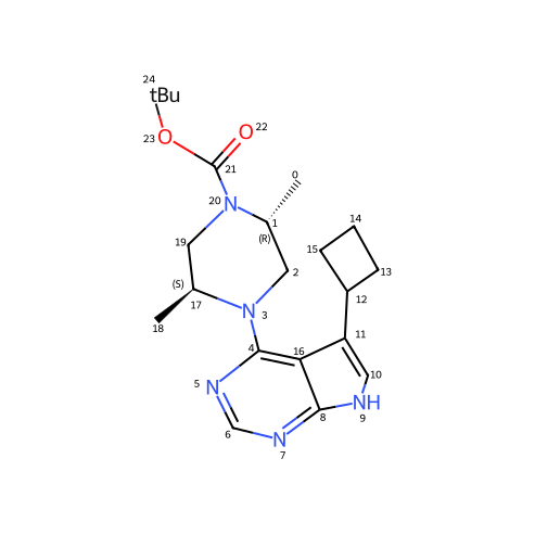 C[C@@H]1CN(c2ncnc3[nH]cc(C4CCC4)c23)[C@@H](C)CN1C(=O)OC(C)(C)C